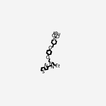 CCc1cn(CCOc2ccc(OCC3CCN(C(=O)OC(C)(C)C)CC3)cc2)c(-c2cc3sccc3n2C)n1